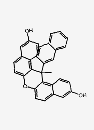 CC1(c2ccc3ccccc3c2)c2c(ccc3cc(O)ccc23)Oc2ccc3cc(O)ccc3c21